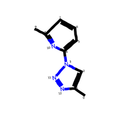 Cc1cn(-c2cccc(C)n2)nn1